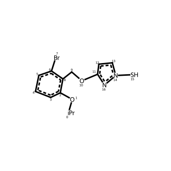 CC(C)Oc1cccc(Br)c1COc1ccn(S)n1